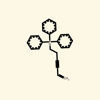 C=CC#CCC[PH](c1ccccc1)(c1ccccc1)c1ccccc1